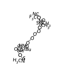 Cc1ncsc1-c1ccc(CNC(=O)[C@@H]2CCCN2C(=O)C(NC(=O)COCCCOCCOCCOc2ccc(N3C(=S)N(c4ccc(C#N)c(C(F)(F)F)c4)C(=O)C3(C)C)cc2)C(C)(C)C)cc1